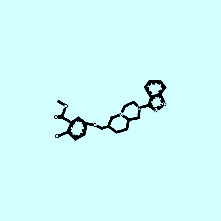 COC(=O)c1cc(OCC2CCC3CN(c4noc5ccccc45)CCN3C2)ccc1Cl